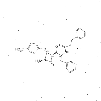 NN1C(=O)[C@H](C(=O)[C@H](Cc2ccccc2)NC(=O)CCc2ccccc2)[C@@H]1Oc1ccc(C(=O)O)cc1